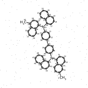 Cc1ccc2c(N(c3ccc(-c4ccc(N(c5cccc6ccccc56)c5ccc(C)c6ccccc56)cc4)cc3)c3cccc4ccccc34)cccc2c1